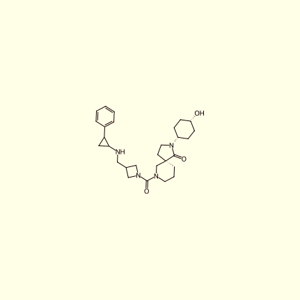 O=C(N1CC(CNC2CC2c2ccccc2)C1)N1CCC[C@@]2(CCN([C@H]3CC[C@@H](O)CC3)C2=O)C1